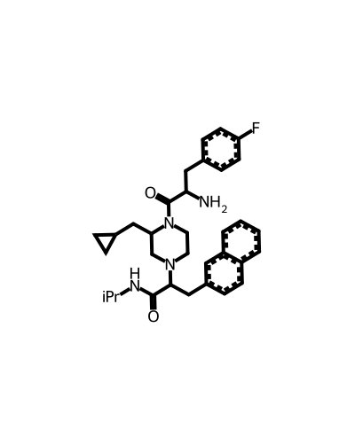 CC(C)NC(=O)C(Cc1ccc2ccccc2c1)N1CCN(C(=O)C(N)Cc2ccc(F)cc2)C(CC2CC2)C1